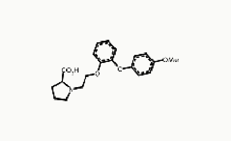 COc1ccc(Oc2ccccc2OCCN2CCCC2C(=O)O)cc1